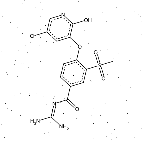 CS(=O)(=O)c1cc(C(=O)N=C(N)N)ccc1Oc1cc(Cl)cnc1O